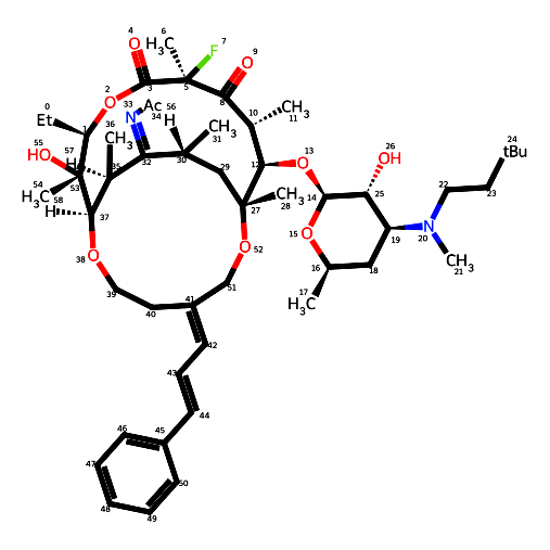 CC[C@H]1OC(=O)[C@@](C)(F)C(=O)[C@H](C)[C@@H](O[C@@H]2O[C@H](C)C[C@H](N(C)CCC(C)(C)C)[C@H]2O)[C@@]2(C)C[C@@H](C)/C(=N\C(C)=O)[C@H](C)[C@@H](OCC/C(=C\C=C\c3ccccc3)CO2)[C@]1(C)O